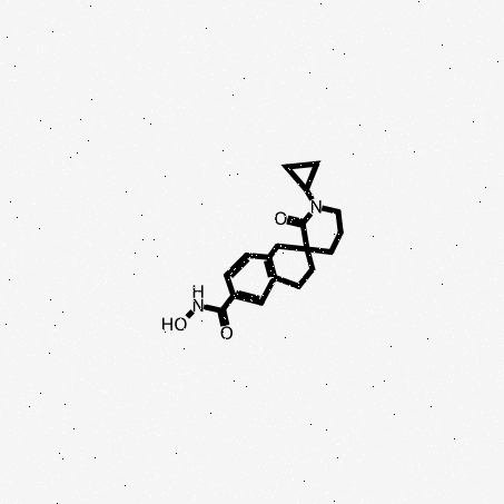 O=C(NO)c1ccc2c(c1)CCC1(CCCN(C3CC3)C1=O)C2